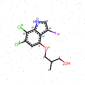 CC(CO)COc1cc(Cl)c(Cl)c2[nH]cc(I)c12